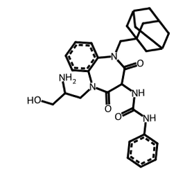 NC(CO)CN1C(=O)C(NC(=O)Nc2ccccc2)C(=O)N(CC23CC4CC(CC(C4)C2)C3)c2ccccc21